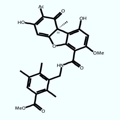 COC(=O)c1cc(C)c(C)c(CNC(=O)c2c(OC)cc(O)c3c2OC2=CC(O)=C(C(C)=O)C(=O)[C@]23C)c1C